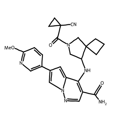 COc1ccc(-c2cc3c(NC4CN(C(=O)C5(C#N)CC5)CC45CCC5)c(C(N)=O)cnn3c2)cn1